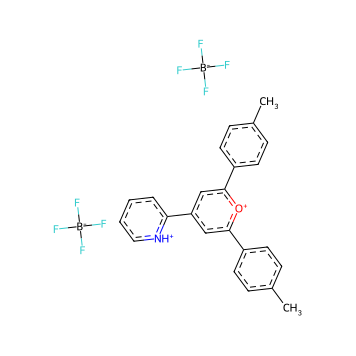 Cc1ccc(-c2cc(-c3cccc[nH+]3)cc(-c3ccc(C)cc3)[o+]2)cc1.F[B-](F)(F)F.F[B-](F)(F)F